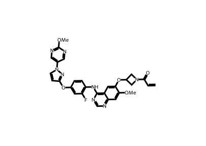 C=CC(=O)N1CC(Oc2cc3c(Nc4ccc(Oc5ccn(-c6cnc(OC)nc6)n5)cc4F)ncnc3cc2OC)C1